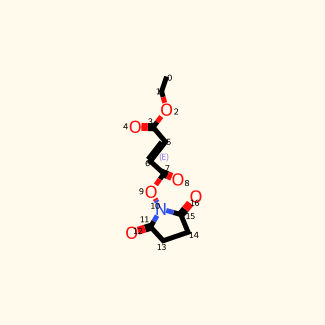 CCOC(=O)/C=C/C(=O)ON1C(=O)CCC1=O